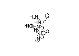 COc1ccc([C@](C)(C(=O)N2CCCC2)n2cnc(NC(=O)[C@@H](CCCc3ccccc3)NCC(C)(C)N)c2)cc1.Cl.Cl